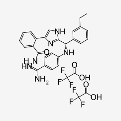 CCc1cccc([C@@H](Nc2ccc(C(=N)N)cc2)c2nc(-c3ccccc3C(N)=O)c[nH]2)c1.O=C(O)C(F)(F)F.O=C(O)C(F)(F)F